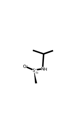 CC(C)N[S@@+](C)[O-]